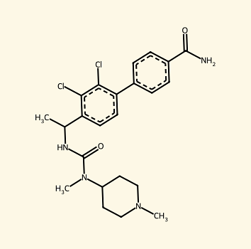 CC(NC(=O)N(C)C1CCN(C)CC1)c1ccc(-c2ccc(C(N)=O)cc2)c(Cl)c1Cl